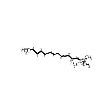 [CH2]CCCCCCCCCC[CH2][Ge]([CH3])([CH3])[CH3]